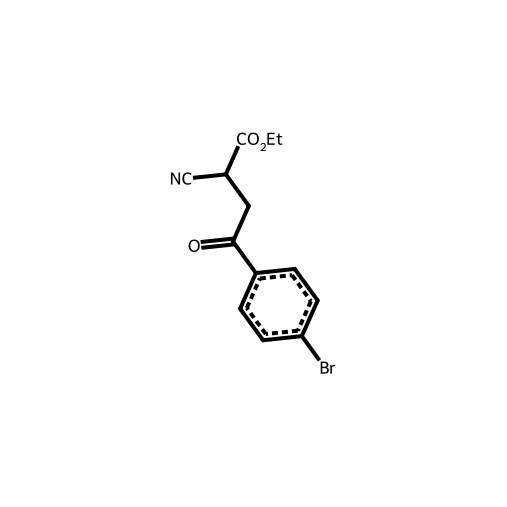 CCOC(=O)C(C#N)CC(=O)c1ccc(Br)cc1